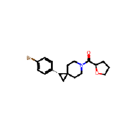 O=C(C1CCCO1)N1CCC2(CC1)C[C@@H]2c1ccc(Br)cc1